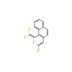 FC(F)=Cc1ccc2ccccc2c1C=C(F)F